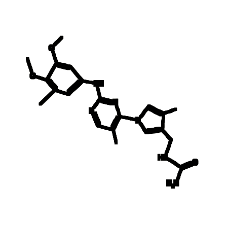 COc1cc(Nc2ncc(C)c(-n3cc(C)c(CNC(N)=O)c3)n2)cc(C)c1OC